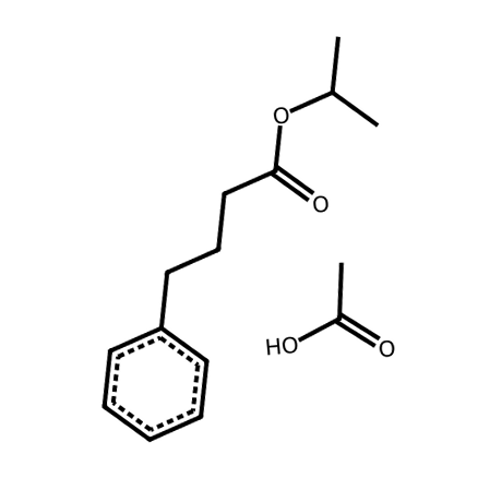 CC(=O)O.CC(C)OC(=O)CCCc1ccccc1